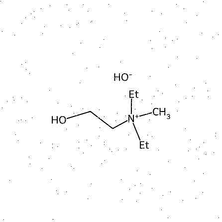 CC[N+](C)(CC)CCO.[OH-]